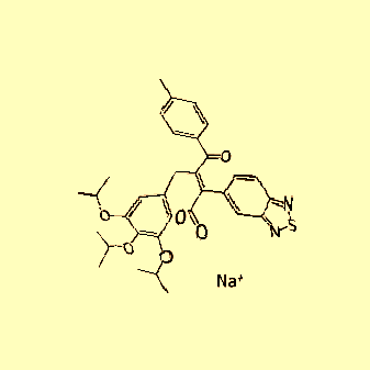 Cc1ccc(C(=O)/C(Cc2cc(OC(C)C)c(OC(C)C)c(OC(C)C)c2)=C(/C(=O)[O-])c2ccc3nsnc3c2)cc1.[Na+]